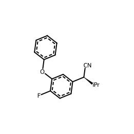 CC(C)[C@H](C#N)c1ccc(F)c(Oc2ccccc2)c1